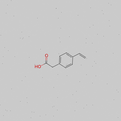 C=Cc1ccc(CC(=O)O)cc1